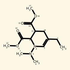 CCC1=CN(N(C)C)C(C(=O)OC)C(C(=O)OC)C1